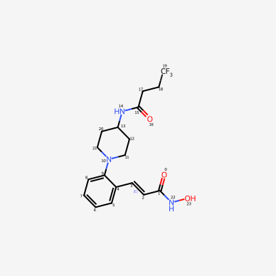 O=C(/C=C/c1ccccc1N1CCC(NC(=O)CCC(F)(F)F)CC1)NO